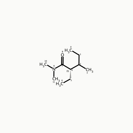 CCC(C)[C@H](CC)C(=O)N(C)C